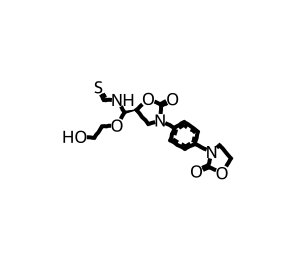 O=C1OCCN1c1ccc(N2C[C@@H](C(NC=S)OCCO)OC2=O)cc1